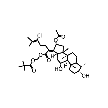 CC(=O)O[C@H]1C[C@@]2(C)[C@H](C[C@@H](O)[C@@H]3[C@@]4(C)CC[C@@H](O)[C@@H](C)C4CC[C@@]32C)C1=C(CCC(Cl)=C(C)C)C(=O)OCOC(=O)C(C)(C)C